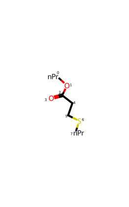 CCCOC(=O)[CH]CSCCC